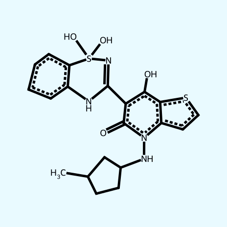 CC1CCC(Nn2c(=O)c(C3=NS(O)(O)c4ccccc4N3)c(O)c3sccc32)C1